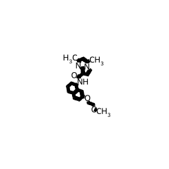 COCCOc1ccc2c(c1)C(NC(=O)c1ccn3c(C)cc(C)nc13)CCC2